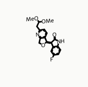 COC(Cc1ccc2c(n1)COC2=C1C(=O)Nc2ccc(F)cc21)OC